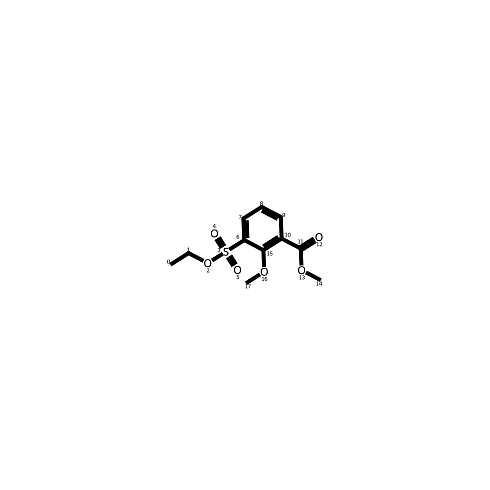 CCOS(=O)(=O)c1cccc(C(=O)OC)c1OC